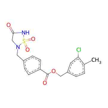 Cc1ccc(COC(=O)c2ccc(CN3CC(=O)NS3(=O)=O)cc2)cc1Cl